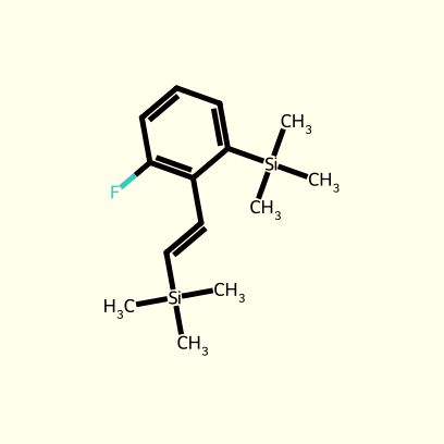 C[Si](C)(C)C=Cc1c(F)cccc1[Si](C)(C)C